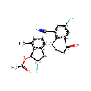 CC(=O)O[C@H]1c2c(C)ccc([C@H]3CCC(=O)c4cc(F)cc(C#N)c43)c2C[C@H]1F